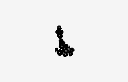 COC(=O)N[C@H]1CCC[C@@H]1[C@](CN1CCC1)(c1cccc(F)c1)C1CCN(CC2(OC)CN(c3ccc(S(=O)(=O)C4COC4)cc3)C2)CC1